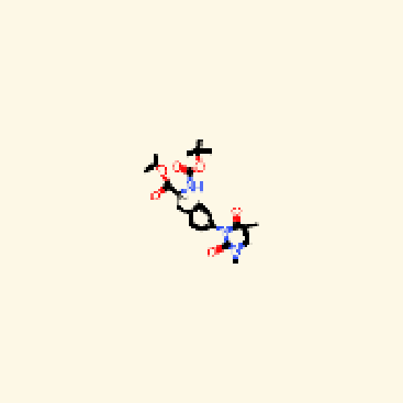 Cc1cn(C)c(=O)n(-c2ccc(C[C@H](NC(=O)OC(C)(C)C)C(=O)OC(C)C)cc2)c1=O